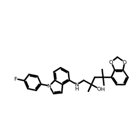 CC(O)(CNc1cccc2c1ccn2-c1ccc(F)cc1)CC(C)(C)c1cccc2c1OCO2